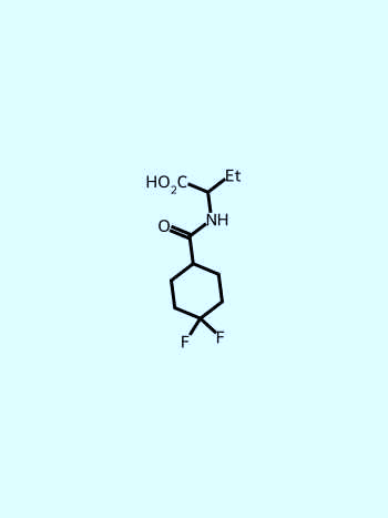 CCC(NC(=O)C1CCC(F)(F)CC1)C(=O)O